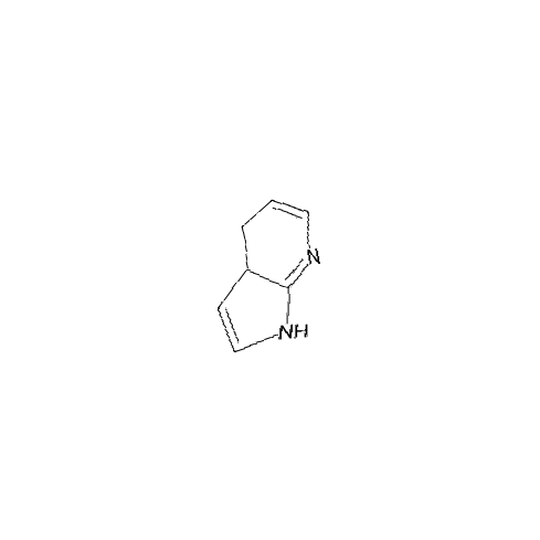 C1=CN=C2NC=CC2C1